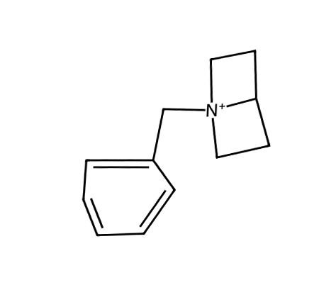 c1ccc(C[N+]23CCC2CC3)cc1